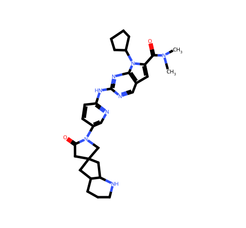 CN(C)C(=O)c1cc2cnc(Nc3ccc(N4CC5(CC4=O)CC4CCCNC4C5)cn3)nc2n1C1CCCC1